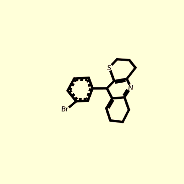 Brc1cccc(C2C3=CCCCC3=NC3=C2SCCC3)c1